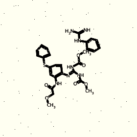 COCC(=O)Nc1cc(Sc2ccccc2)ccc1N=C(NC(=O)OC)NC(=O)OC.N=C(N)Nc1ccccc1